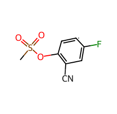 CS(=O)(=O)Oc1c[c]c(F)cc1C#N